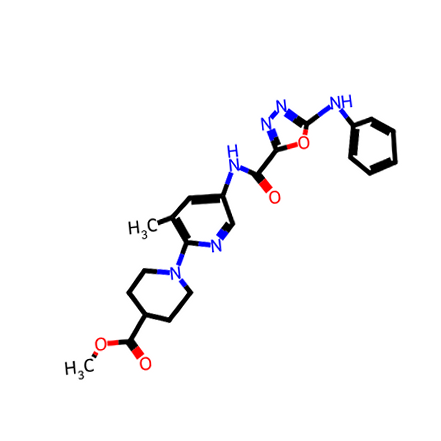 COC(=O)C1CCN(c2ncc(NC(=O)c3nnc(Nc4ccccc4)o3)cc2C)CC1